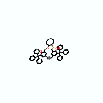 CC(C)(C)c1cc(CSC2CCCCCCC2SCc2cc(C(C)(C)C)cc(C(c3ccccc3)(c3ccccc3)c3ccccc3)c2O)c(O)c(C(c2ccccc2)(c2ccccc2)c2ccccc2)c1